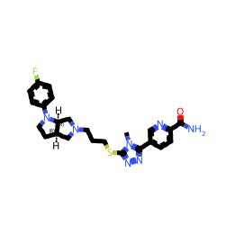 Cn1c(SCCCN2C[C@H]3CCN(c4ccc(F)cc4)[C@H]3C2)nnc1-c1ccc(C(N)=O)nc1